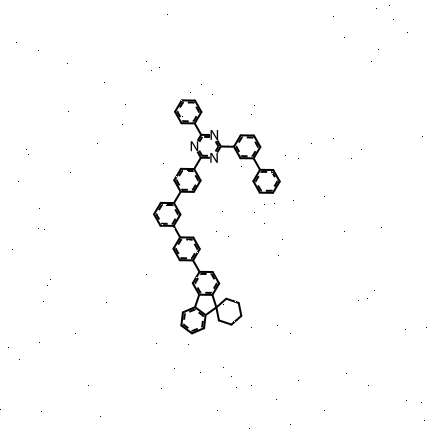 c1ccc(-c2cccc(-c3nc(-c4ccccc4)nc(-c4ccc(-c5cccc(-c6ccc(-c7ccc8c(c7)-c7ccccc7C87CCCCC7)cc6)c5)cc4)n3)c2)cc1